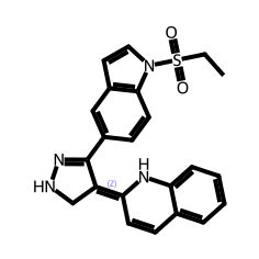 CCS(=O)(=O)n1ccc2cc(C3=NNC/C3=C3\C=Cc4ccccc4N3)ccc21